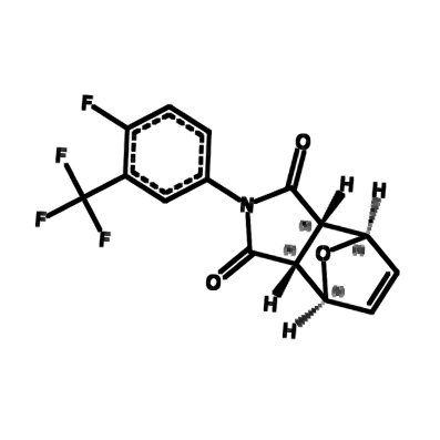 O=C1[C@@H]2[C@H](C(=O)N1c1ccc(F)c(C(F)(F)F)c1)[C@H]1C=C[C@@H]2O1